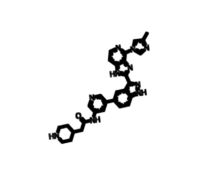 Cc1cn(-c2nccc3[nH]c(-c4n[nH]c5ccc(-c6cncc(NC(=O)CC7CCNCC7)c6)cc45)nc23)cn1